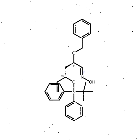 C=C[C@H](C[C@H](/C=N/O)OCc1ccccc1)O[Si](c1ccccc1)(c1ccccc1)C(C)(C)C